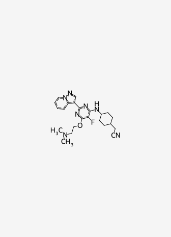 CN(C)CCOc1nc(-c2cnn3ccccc23)nc(NC2CCC(CC#N)CC2)c1F